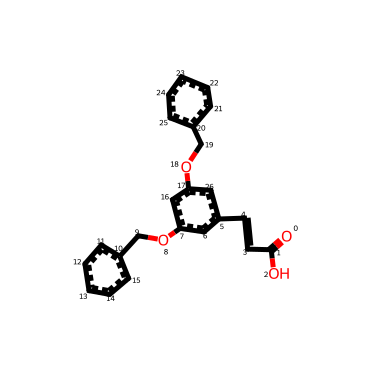 O=C(O)/C=C/c1cc(OCc2ccccc2)cc(OCc2ccccc2)c1